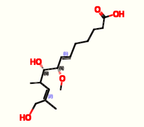 CO[C@@H](/C=C/CCCCC(=O)O)[C@@H](O)C(C)/C=C(/C)CO